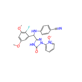 COc1cc(OC)c(F)c(C(Nc2ccc(C#N)cc2)c2nn(-c3cccc[n+]3[O-])c(=O)[nH]2)c1